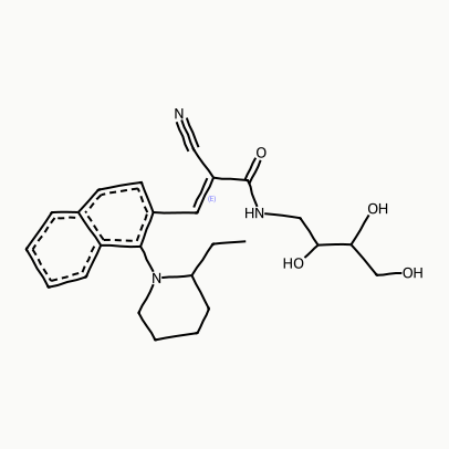 CCC1CCCCN1c1c(/C=C(\C#N)C(=O)NCC(O)C(O)CO)ccc2ccccc12